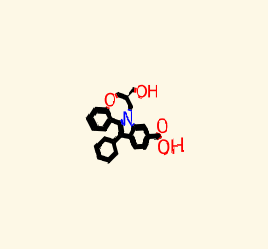 O=C(O)c1ccc2c(C3CCCCC3)c3n(c2c1)C[C@H](CO)COc1ccccc1-3